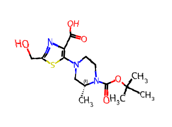 C[C@@H]1CN(c2sc(CO)nc2C(=O)O)CCN1C(=O)OC(C)(C)C